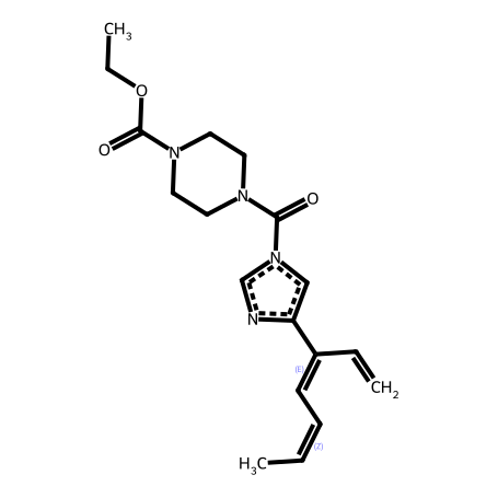 C=C/C(=C\C=C/C)c1cn(C(=O)N2CCN(C(=O)OCC)CC2)cn1